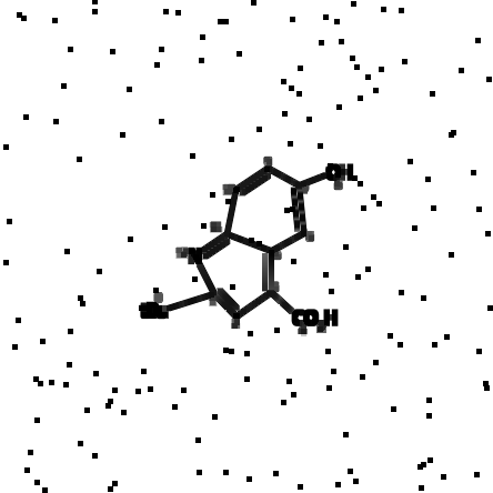 CC(C)(C)c1cc(C(=O)O)c2cc(O)ccc2n1